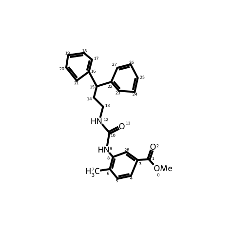 COC(=O)c1ccc(C)c(NC(=O)NCCC(c2ccccc2)c2ccccc2)c1